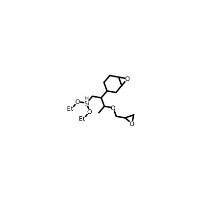 CCO[SiH](CC(C1CCC2OC2C1)C(C)OCC1CO1)OCC